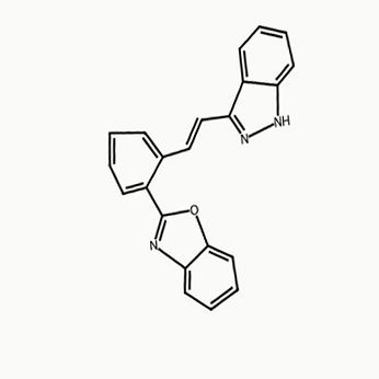 C(=Cc1n[nH]c2ccccc12)c1ccccc1-c1nc2ccccc2o1